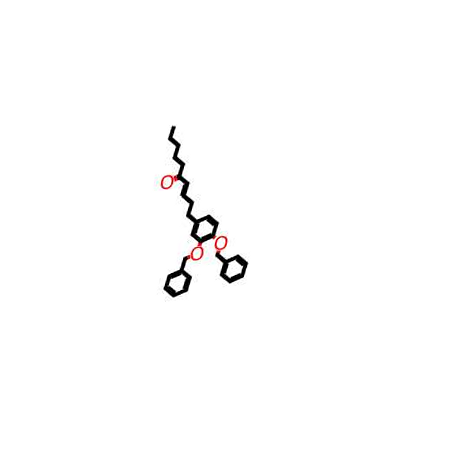 CCCCCC(=O)C=CCCc1ccc(OCc2ccccc2)c(OCc2ccccc2)c1